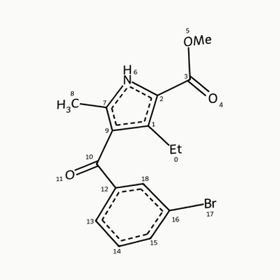 CCc1c(C(=O)OC)[nH]c(C)c1C(=O)c1cccc(Br)c1